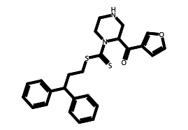 O=C(c1ccoc1)C1CNCCN1C(=S)SCCC(c1ccccc1)c1ccccc1